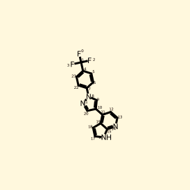 FC(F)(F)c1c[c]c(-n2cc(-c3ccnc4[nH]ccc34)cn2)cc1